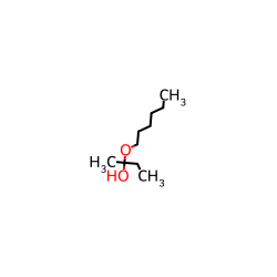 CCCCCCOC(C)(O)CC